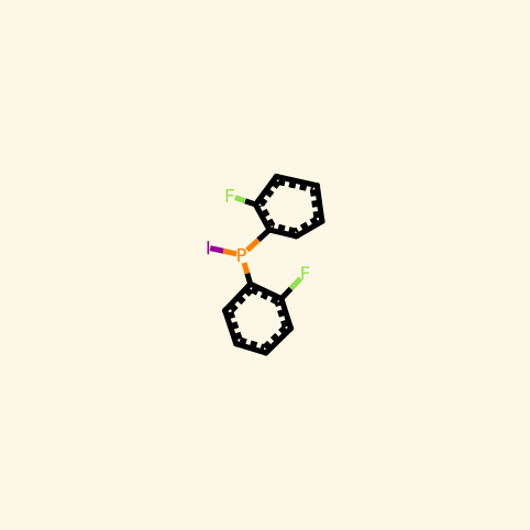 Fc1ccccc1P(I)c1ccccc1F